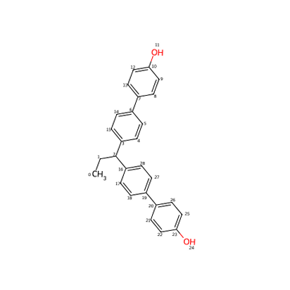 CCC(c1ccc(-c2ccc(O)cc2)cc1)c1ccc(-c2ccc(O)cc2)cc1